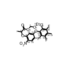 CCOCOC(=O)C(C)Oc1cc(Oc2c(F)c(F)c(C)c(F)c2Cl)ccc1[N+](=O)[O-]